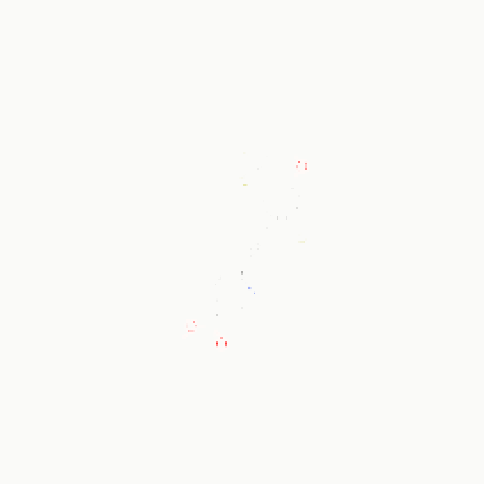 CCOC(=O)c1ccc(C#Cc2cc3c(cc2SC)OCCC3(SC)SC)nc1